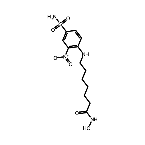 NS(=O)(=O)c1ccc(NCCCCCCC(=O)NO)c([N+](=O)[O-])c1